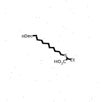 CCCCCCCCCCCCCCCCCCCCSC(CC)C(=O)O